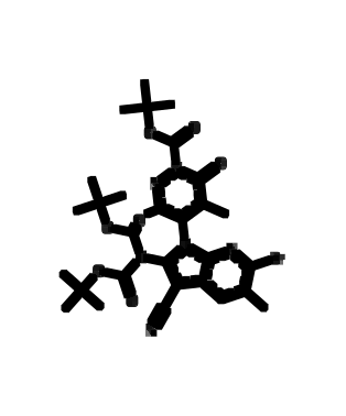 Cc1cc2c(C#N)c(N(C(=O)OC(C)(C)C)C(=O)OC(C)(C)C)n(-c3c(C)nn(C(=O)OC(C)(C)C)c(=O)c3C)c2nc1Br